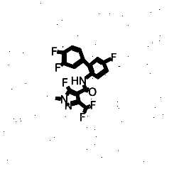 Cn1nc(C(F)F)c(C(=O)Nc2ccc(F)cc2-c2ccc(F)c(F)c2)c1F